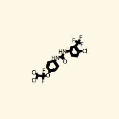 O=C(Nc1ccc(OC(F)(F)C(Cl)Cl)cc1)Nc1ccc(Cl)c(C(F)(F)F)c1